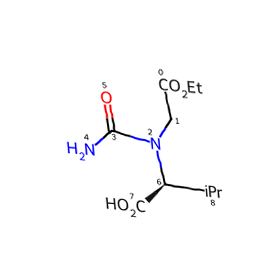 CCOC(=O)CN(C(N)=O)[C@H](C(=O)O)C(C)C